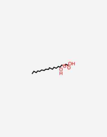 CCCCCCCCCCCCCCC(O)COCC(=O)O